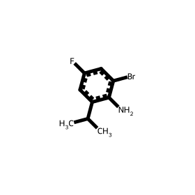 CC(C)c1cc(F)cc(Br)c1N